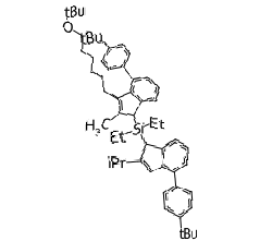 CC[Si](CC)(C1C(C(C)C)=Cc2c(-c3ccc(C(C)(C)C)cc3)cccc21)C1C(C)=C(CCCCCCOC(C)(C)C)c2c(-c3ccc(C(C)(C)C)cc3)cccc21